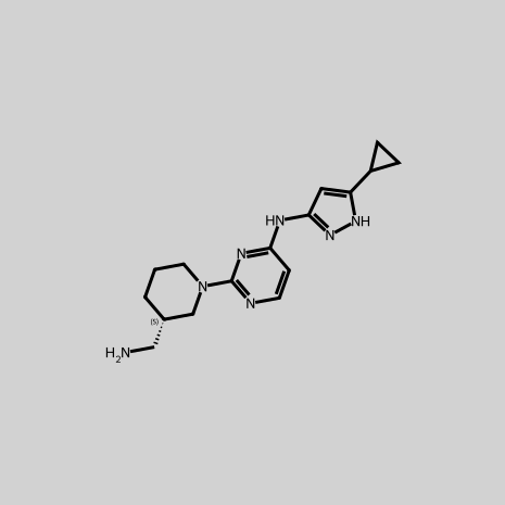 NC[C@@H]1CCCN(c2nccc(Nc3cc(C4CC4)[nH]n3)n2)C1